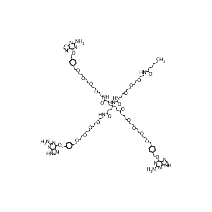 CCCCCC(=O)NCCOCCOCCOCCNC(=O)NC(CCC(=O)CCCOCCOCCOCCOCc1ccc(COc2nc(N)nc3[nH]cnc23)cc1)(CCC(=O)NCCOCCOCCOCCOCc1ccc(COc2nc(N)nc3c2N=CC3)cc1)CCC(=O)NCCOCCOCCOCCOCc1ccc(COc2nc(N)nc3[nH]cnc23)cc1